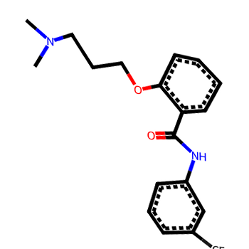 CN(C)CCCOc1ccccc1C(=O)Nc1cccc(C(F)(F)F)c1